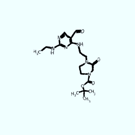 CCNc1ncc(C=O)c(NCCN2CCN(C(=O)OC(C)(C)C)CC2=O)n1